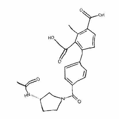 CC(=O)N[C@H]1CCN(C(=O)c2ccc(-c3ccc(C(=O)O)c(C)c3C(=O)O)cc2)C1